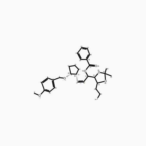 COc1ccc(CO[C@@H]2CCC[C@@H]2/C=C\C(OC(=O)c2ccccc2)C2OC(C)(C)OC2CCI)cc1